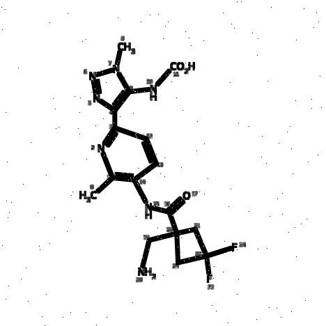 Cc1nc(-c2nnn(C)c2NC(=O)O)ccc1NC(=O)C1(CN)CC(F)(F)C1